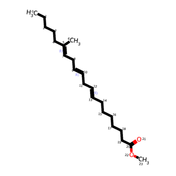 CCCCC/C(C)=C/C/C=C/C/C=C/CCCCCCC(=O)OC